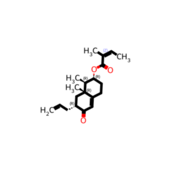 C=CC[C@@H]1C[C@@]2(C)C(=CC1=O)CC[C@@H](OC(=O)/C(C)=C\C)[C@@H]2C